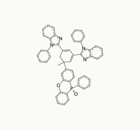 CC1(c2ccc3c(c2)Oc2ccccc2P3(=O)c2ccccc2)C=C(c2nc3ccccc3n2-c2ccccc2)C=C(c2nc3ccccc3n2-c2ccccc2)C1